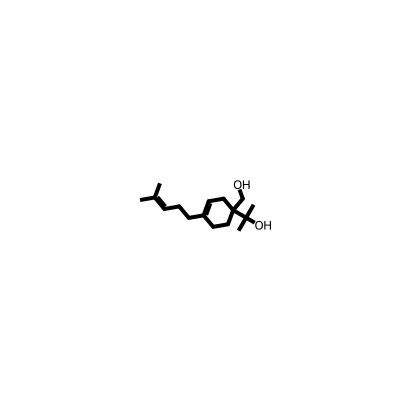 CC(C)=CCCC1=CCC(CO)(C(C)(C)O)CC1